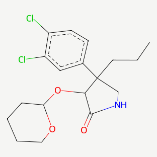 CCCC1(c2ccc(Cl)c(Cl)c2)CNC(=O)C1OC1CCCCO1